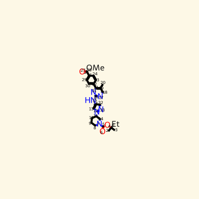 CCC(C)(C)OC(=O)N1CCCC(n2cc(Nc3ncc(C)c(-c4ccc(C(=O)OC)cc4)n3)cn2)C1